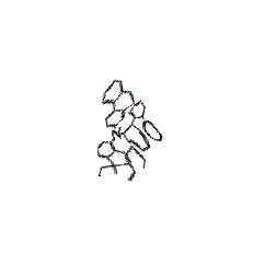 C=CC1=C(/C=C\C)c2c(N(c3ccc4c(ccc5ccccc54)c3)c3cccc4oc5ccccc5c34)cccc2C1(C)CC